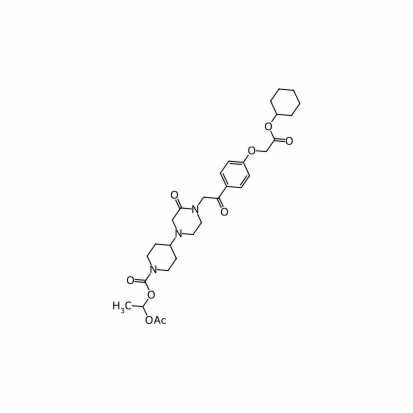 CC(=O)OC(C)OC(=O)N1CCC(N2CCN(CC(=O)c3ccc(OCC(=O)OC4CCCCC4)cc3)C(=O)C2)CC1